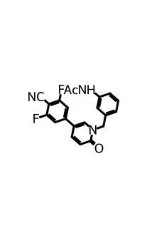 CC(=O)Nc1cccc(Cn2cc(-c3cc(F)c(C#N)c(F)c3)ccc2=O)c1